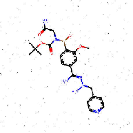 COc1cc(/C(N)=N/N(N)Cc2ccncc2)ccc1[S+]([O-])N(CC(N)=O)C(=O)OC(C)(C)C